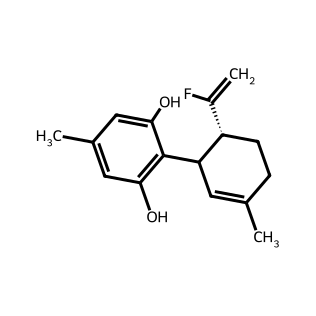 C=C(F)[C@@H]1CCC(C)=CC1c1c(O)cc(C)cc1O